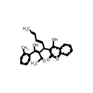 C/C=C/C=C/C(/C(C(C)=O)=C(\O)c1ccccc1C)c1c(O)c2ccccc2oc1=O